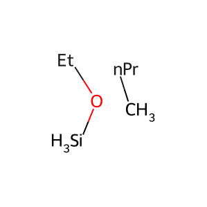 CCCC.CCO[SiH3]